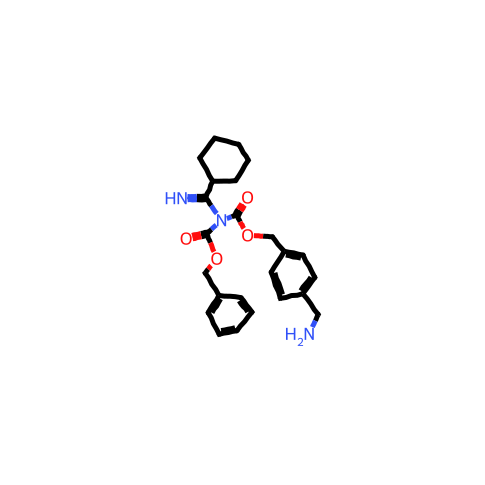 N=C(C1CCCCC1)N(C(=O)OCc1ccccc1)C(=O)OCc1ccc(CN)cc1